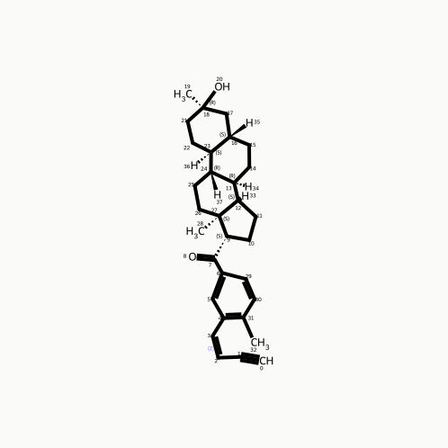 C#C/C=C\c1cc(C(=O)[C@H]2CC[C@H]3[C@@H]4CC[C@H]5C[C@](C)(O)CC[C@@H]5[C@H]4CC[C@]23C)ccc1C